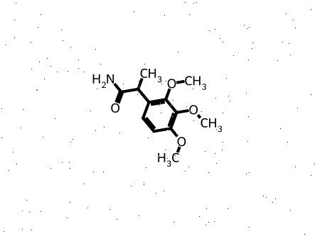 COc1ccc(C(C)C(N)=O)c(OC)c1OC